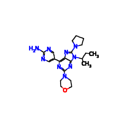 CCC(C)n1c(N2CCCC2)nc2c(-c3cnc(N)nc3)nc(N3CCOCC3)nc21